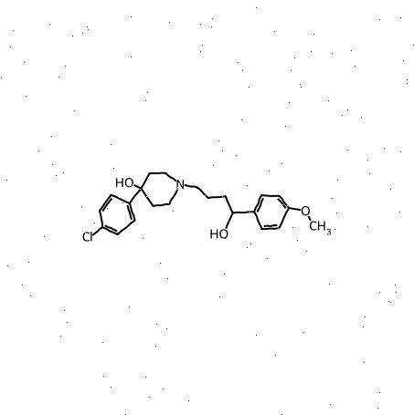 COc1ccc(C(O)CCCN2CCC(O)(c3ccc(Cl)cc3)CC2)cc1